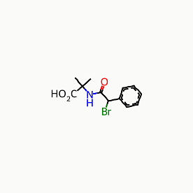 CC(C)(NC(=O)C(Br)c1ccccc1)C(=O)O